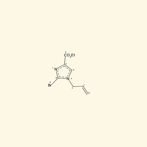 C=CCn1cc(C(=O)OCC)nc1Br